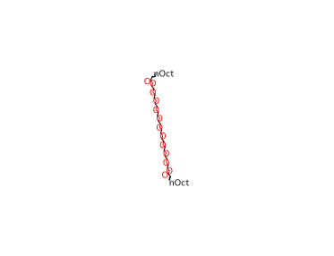 CCCCCCCCC=CC(=O)OCCOCCOCCOCCOCCOCCOCCOCCOCCOCCOC(=O)C=CCCCCCCCC